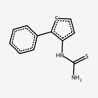 NC(=S)Nc1ccsc1-c1ccccc1